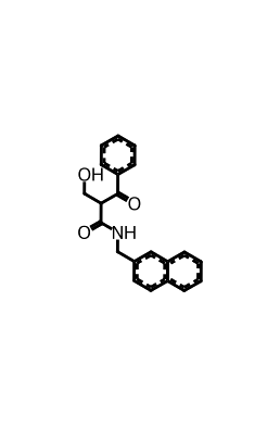 O=C(NCc1ccc2ccccc2c1)C(CO)C(=O)c1ccccc1